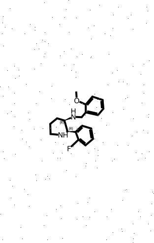 COc1ccccc1CN[C@@H]1CCCN[C@@H]1c1ccccc1F